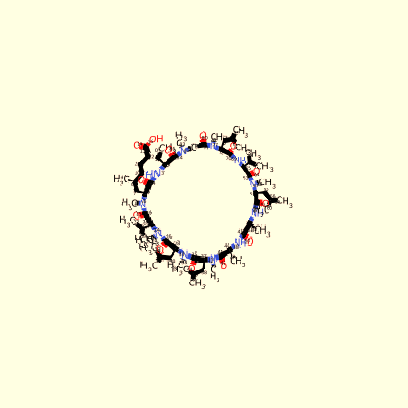 CC[C@@H]1NC(=O)[C@H](C[C@H](C)CCCC(=O)O)N(C)C(=O)[C@H](C(C)C)N(C)C(=O)[C@H](CC(C)C)N(C)C(=O)[C@H](CC(C)C)N(C)C(=O)[C@@H](C)NC(=O)[C@H](C)NC(=O)[C@H](CC(C)C)N(C)C(=O)[C@H](C(C)C)NC(=O)[C@H](CC(C)C)N(C)C(=O)CN(C)C1=O